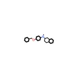 CN(c1ccc(OCc2ccccc2)cc1)C1CCc2ccccc2C1